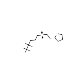 O=S(=O)(CCCC(F)(F)C(F)(F)F)CC[C@@H]1CCCN1